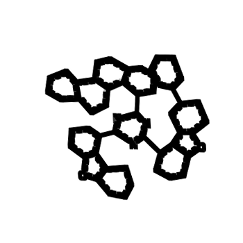 c1ccc(-c2ccc3oc4cccc(-c5nc(-c6cccc7ccc8c9ccccc9ccc8c67)nc(-c6cccc7oc8ccccc8c67)n5)c4c3c2)cc1